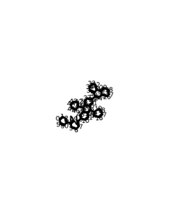 c1ccc(-c2cccc(-c3ccc4c(-c5ccccc5)c5cc(-c6cc7ccccc7c7ccccc67)ccc5c(-c5ccccc5)c4c3)n2)cc1